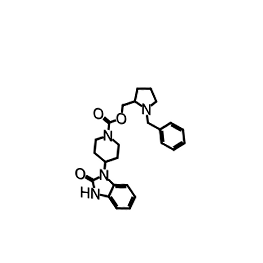 O=C(OCC1CCCN1Cc1ccccc1)N1CCC(n2c(=O)[nH]c3ccccc32)CC1